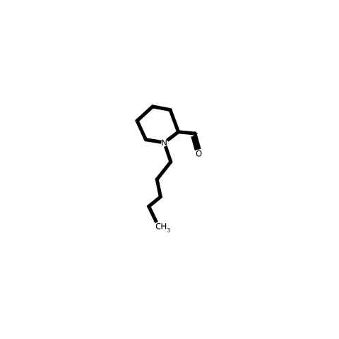 CCCCCN1CCCCC1[C]=O